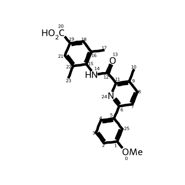 COc1cccc(-c2ccc(C)c(C(=O)Nc3c(C)cc(C(=O)O)cc3C)n2)c1